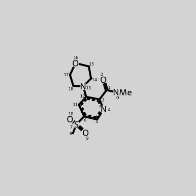 CNC(=O)c1ncc(S(C)(=O)=O)cc1N1CCOCC1